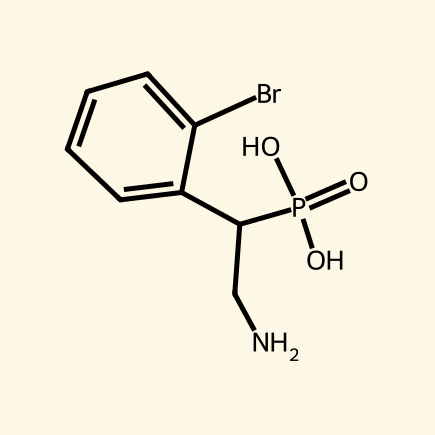 NCC(c1ccccc1Br)P(=O)(O)O